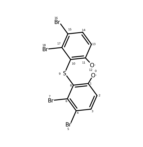 [O]c1ccc(Br)c(Br)c1Sc1c([O])ccc(Br)c1Br